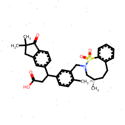 Cc1ccc(C(CC(=O)O)c2ccc3c(c2)CC(C)(C)C3=O)cc1CN1C[C@@H](C)CCc2ccccc2S1(=O)=O